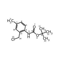 Cc1ccc(NC(=O)OC(C)(C)C)c(CCl)c1